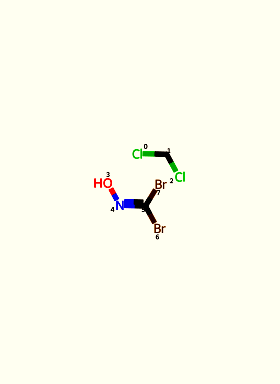 ClCCl.ON=C(Br)Br